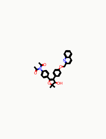 CC(=O)N(C(C)=O)c1ccc(C2=C(c3ccc(OCc4ccc5ccccc5n4)cc3)C(O)C(C)(C)O2)cc1